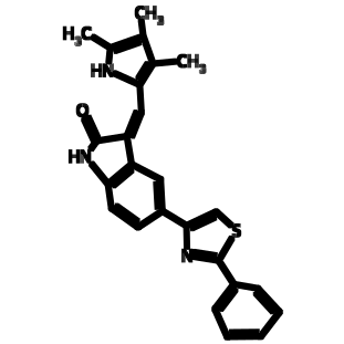 Cc1[nH]c(/C=C2\C(=O)Nc3ccc(-c4csc(-c5ccccc5)n4)cc32)c(C)c1C